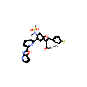 CNC(=O)c1c(-c2ccc(F)cc2)oc2cc(N(C)S(C)(=O)=O)c(-c3cccc(-c4nc5ncccc5o4)n3)cc12